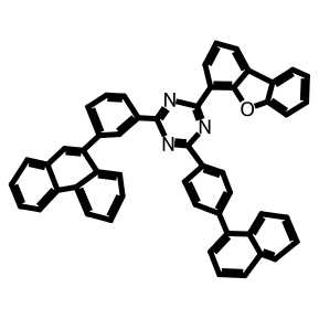 c1cc(-c2nc(-c3ccc(-c4cccc5ccccc45)cc3)nc(-c3cccc4c3oc3ccccc34)n2)cc(-c2cc3ccccc3c3ccccc23)c1